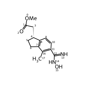 COC(=O)C[C@H]1CCc2c1ccc(C(=N)NO)c2C